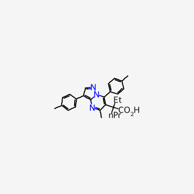 CCCC(CC)(C(=O)O)c1c(C)nc2c(-c3ccc(C)cc3)cnn2c1-c1ccc(C)cc1